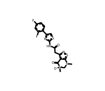 CN1C[N+](C)([O-])C(=O)c2c(CC(=O)Nc3nc(-c4ccc(F)cc4F)cs3)nsc21